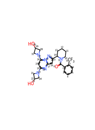 O=C(c1ccccc1C(F)(F)F)N1CCCCC1c1cc2nc(N3CC(O)C3)cc(N3CC(O)C3)n2n1